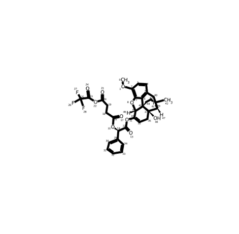 COc1ccc2c3c1O[C@H]1C(OC(=O)[C@H](OC(=O)CCC(=O)OC(=O)C(F)(F)F)c4ccccc4)=CC[C@@]4(O)[C@@H](C2)N(C)CC[C@]314